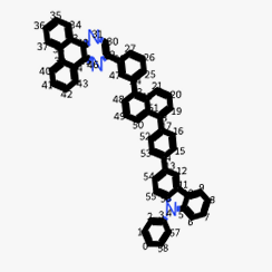 c1ccc(-n2c3ccccc3c3cc(-c4ccc(-c5cccc6c(-c7cccc(-c8cnc9c%10ccccc%10c%10ccccc%10c9n8)c7)cccc56)cc4)ccc32)cc1